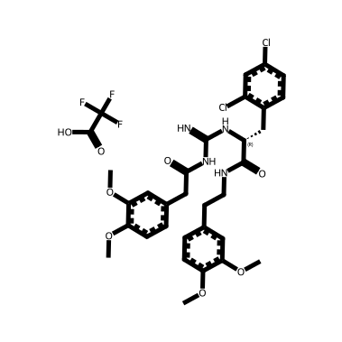 COc1ccc(CCNC(=O)[C@@H](Cc2ccc(Cl)cc2Cl)NC(=N)NC(=O)Cc2ccc(OC)c(OC)c2)cc1OC.O=C(O)C(F)(F)F